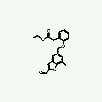 CCOC(=O)Cc1ccccc1OCc1cc(C)c2oc(C=O)cc2c1